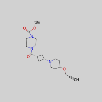 C#CCOC1CCN([C@H]2C[C@@H](C(=O)N3CCN(C(=O)OC(C)(C)C)CC3)C2)CC1